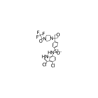 O=C(N1CCN(C2(c3ccc([S+]([O-])Nc4ccc(Cl)c5c(Cl)c[nH]c45)cc3)COC2)CC1)C(F)(F)F